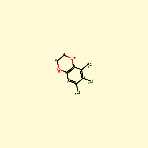 CC(=O)c1c(Cl)c(Cl)cc2c1OCCO2